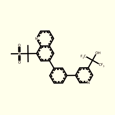 CC(C)(c1cc(-c2cccc(-c3cncc(C(O)(C(F)(F)F)C(F)(F)F)c3)c2)cc2cccnc12)S(C)(=O)=O